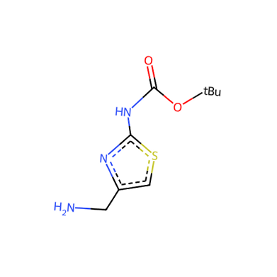 CC(C)(C)OC(=O)Nc1nc(CN)cs1